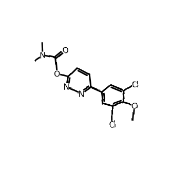 COc1c(Cl)cc(-c2ccc(OC(=O)N(C)C)nn2)cc1Cl